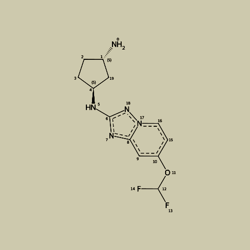 N[C@H]1CC[C@H](Nc2nc3cc(OC(F)F)ccn3n2)C1